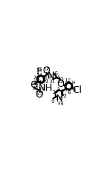 CC1C=CC(c2cc(Cl)ccc2OCC2CN(C(=O)c3cc4c(cc3F)OCC(=O)N4)C2)=CN1C